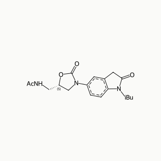 CCC(C)N1C(=O)Cc2cc(N3C[C@H](CNC(C)=O)OC3=O)ccc21